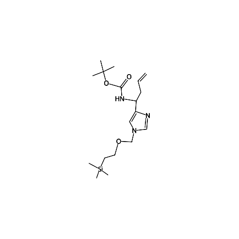 C=CCC(NC(=O)OC(C)(C)C)c1cn(COCC[Si](C)(C)C)cn1